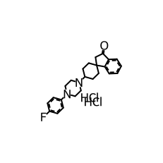 Cl.Cl.O=C1CC2(CCC(N3CCN(c4ccc(F)cc4)CC3)CC2)c2ccccc21